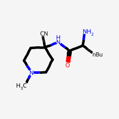 CCCCC(N)C(=O)NC1(C#N)CCN(C)CC1